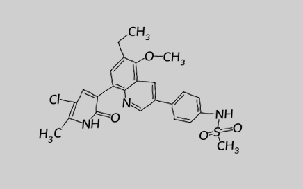 CCc1cc(-c2cc(Cl)c(C)[nH]c2=O)c2ncc(-c3ccc(NS(C)(=O)=O)cc3)cc2c1OC